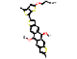 CCCCCCCCCCCCOc1cc2c(C)sc(-c3cc4cc5c(OCC)c6cc7sc(C)cc7cc6c(OCC)c5cc4s3)c2s1